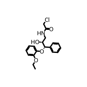 CCOc1ccccc1O[C@@H](c1ccccc1)[C@@H](O)CNC(=O)CCl